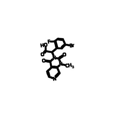 Cn1c(=O)n(C(C(=O)O)c2cc(Br)ccc2F)c(=O)c2ccncc21